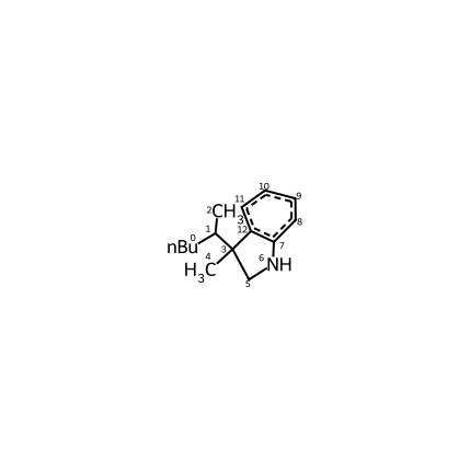 CCCCC(C)C1(C)CNc2ccccc21